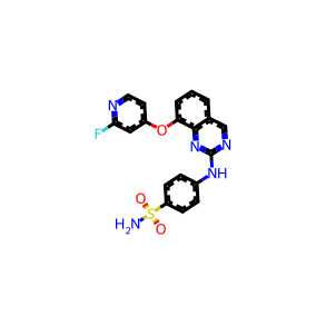 NS(=O)(=O)c1ccc(Nc2ncc3cccc(Oc4ccnc(F)c4)c3n2)cc1